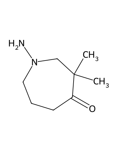 CC1(C)CN(N)CCCC1=O